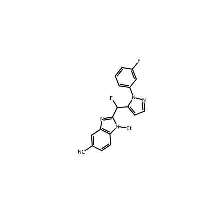 CCn1c(C(F)c2ccnn2-c2cccc(F)c2)nc2cc(C#N)ccc21